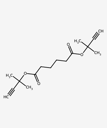 C#CC(C)(C)OC(=O)CCCCC(=O)OC(C)(C)C#C